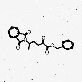 CC(CCC(=O)C(=O)OCc1ccccc1)N1C(=O)c2ccccc2C1=O